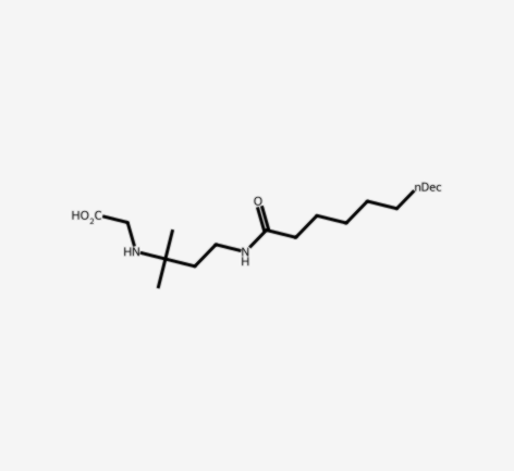 CCCCCCCCCCCCCCCC(=O)NCCC(C)(C)NCC(=O)O